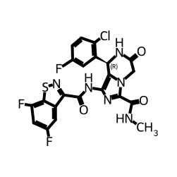 CNC(=O)c1nc(NC(=O)c2nsc3c(F)cc(F)cc23)c2n1CC(=O)N[C@@H]2c1cc(F)ccc1Cl